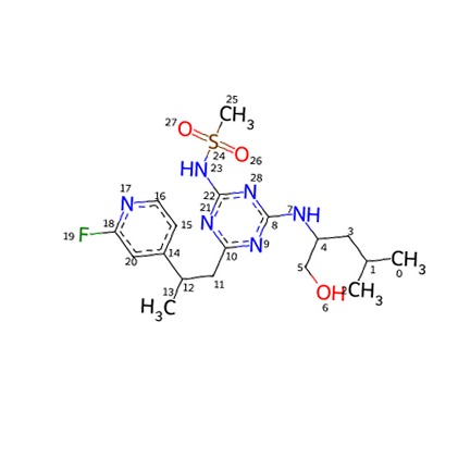 CC(C)CC(CO)Nc1nc(CC(C)c2ccnc(F)c2)nc(NS(C)(=O)=O)n1